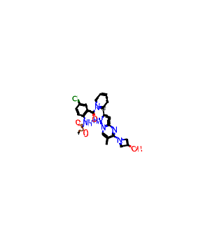 CC1=CN2NC([C@@H]3CCCCN3C(=O)c3cc(Cl)ccc3NS(C)(=O)=O)C=C2N=C1N1CC(O)C1